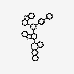 c1ccc(-c2ccc(-c3nc(-c4cccc5oc6ccccc6c45)nc(-c4ccc(C5CCc6cc7ccccc7cc6-c6ccccc65)c5oc6ccccc6c45)n3)cc2)cc1